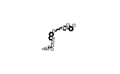 CCCCOC(=O)OCOc1ccc2ccc(OCCCCN3CCN(c4cccc(Cl)c4Cl)CC3)cc2n1